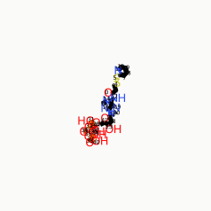 O=C(CCSSc1ccccn1)Nc1ncnc2c1ncn2C1CC(O)C(COP(=O)(O)OP(=O)(O)OP(=O)(O)O)O1